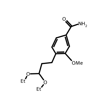 CCOC(CCc1ccc(C(N)=O)cc1OC)OCC